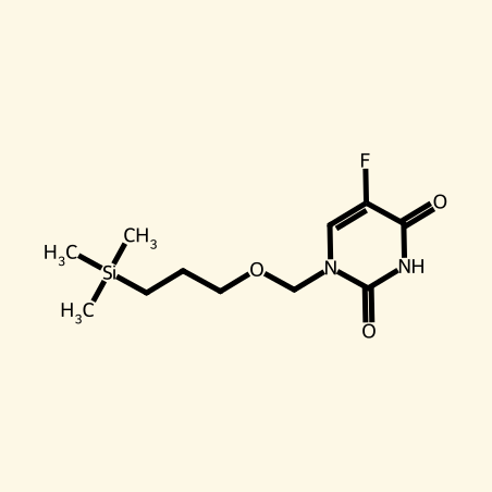 C[Si](C)(C)CCCOCn1cc(F)c(=O)[nH]c1=O